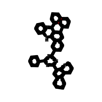 N=C(c1ccccc1)c1c(-c2ccccc2)cc2ccc(-c3nc(-c4ccccc4)nc(-c4cc5ccccc5c5ccccc45)n3)cc2c1Nc1ccccc1